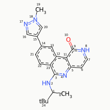 CC(Nc1nc2cc[nH]c(=O)c2c2cc(-c3cnn(C)c3)ccc12)C(C)(C)C